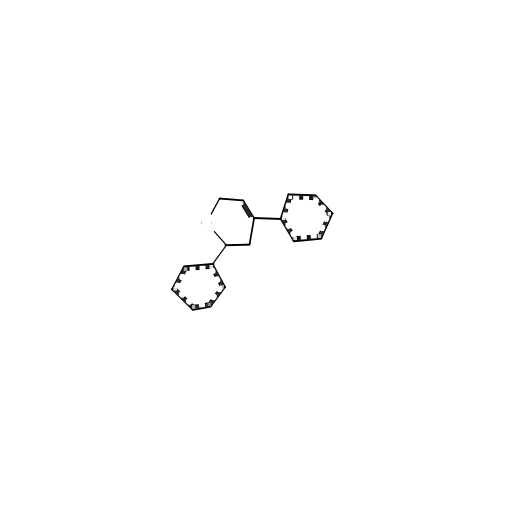 C1=C(c2ccccc2)CC(c2ccccc2)OC1